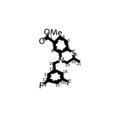 COC(=O)c1ccc2c(c1)N(Cc1cc(F)cc(F)c1)CC(C)S2